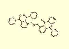 O=C(c1ccccc1)c1cccc(COCc2cccc(C(=O)c3ccccc3)c2C(=O)c2ccccc2)c1C(=O)c1ccccc1